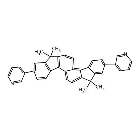 CC1(C)c2cc(-c3cccnc3)ccc2-c2c1ccc1c3c(ccc21)C(C)(C)c1cc(-c2cccnc2)ccc1-3